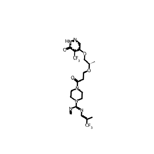 C=N/C(=N\C=C(/C)C(F)(F)F)N1CCN(C(=O)CCO[C@@H](C)COc2cn[nH]c(=O)c2C(F)(F)F)CC1